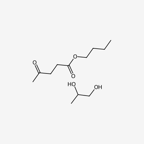 CC(O)CO.CCCCOC(=O)CCC(C)=O